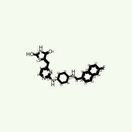 O=C1NC(O)S/C1=C\c1ccnc(N[C@H]2CC[C@H](NCc3ccc4cc(F)ccc4c3)CC2)n1